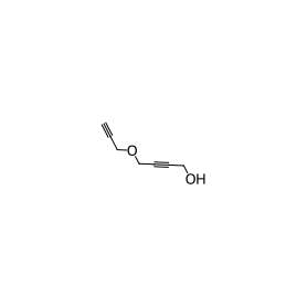 C#CCOCC#CCO